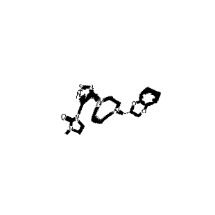 CN1CCN(c2nsnc2N2CCN(C[C@H]3COc4ccccc4O3)CC2)C1=O